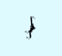 CCCCCCCCCCC(=O)Oc1ccc(C(=O)O)c(-c2ccc(C(=O)O[C@H](C)CCCCCCCC)cc2)c1F